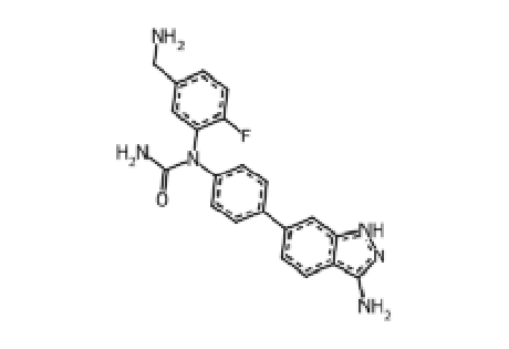 NCc1ccc(F)c(N(C(N)=O)c2ccc(-c3ccc4c(N)n[nH]c4c3)cc2)c1